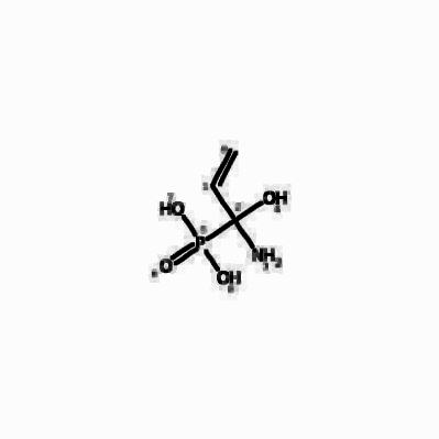 C=CC(N)(O)P(=O)(O)O